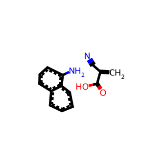 C=C(C#N)C(=O)O.Nc1cccc2ccccc12